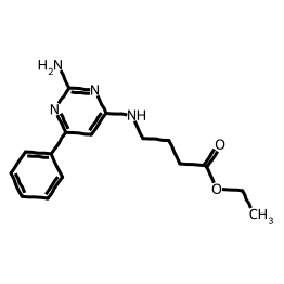 CCOC(=O)CCCNc1cc(-c2ccccc2)nc(N)n1